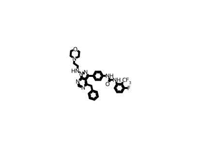 O=C(Nc1ccc(-c2nn(NCCN3CCOCC3)c3ncnc(Cc4ccccc4)c23)cc1)Nc1cccc(F)c1C(F)(F)F